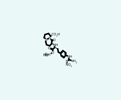 Br.CCCCCCCCCCOC(=O)[C@H](CCc1ccc(NC(N)=N[N+](=O)[O-])cc1)N[C@H]1CCCN2CCC[C@@H](C(=O)O)N2C1=O